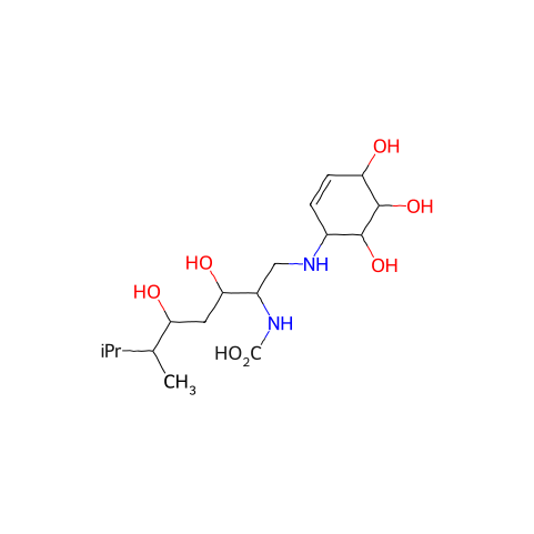 CC(C)C(C)C(O)CC(O)C(CNC1C=CC(O)C(O)C1O)NC(=O)O